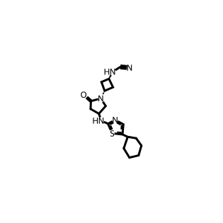 N#CN[C@H]1C[C@H](N2CC(Nc3ncc(C4CCCCC4)s3)CC2=O)C1